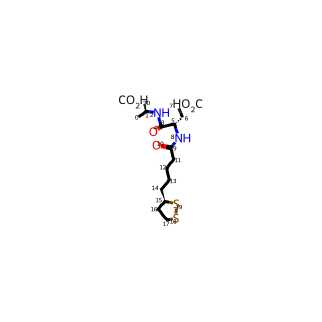 C[C@H](NC(=O)[C@H](CC(=O)O)NC(=O)CCCC[C@@H]1CCSS1)C(=O)O